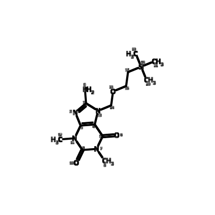 Bc1nc2c(c(=O)n(C)c(=O)n2C)n1COCC[Si](C)(C)C